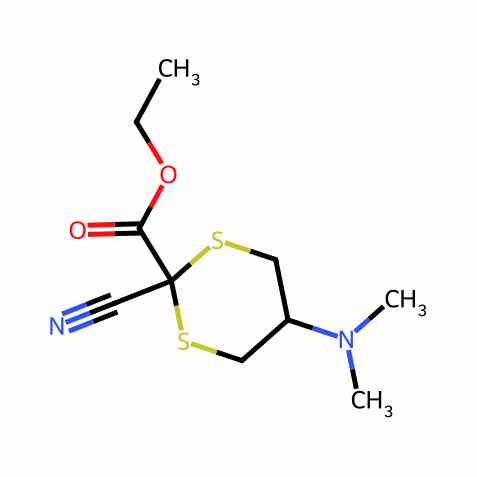 CCOC(=O)C1(C#N)SCC(N(C)C)CS1